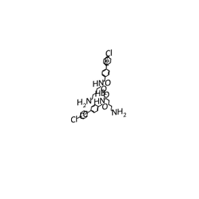 NCCCCC(NC(=O)c1ccc(C23CCC(Cl)(CC2)CC3)cc1)OBOC(CCCCN)NC(=O)c1ccc(C23CCC(Cl)(CC2)CC3)cc1